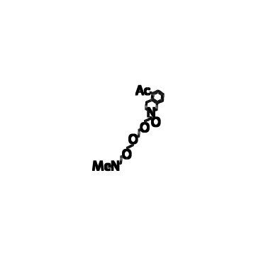 CNCCOCCOCCOCC(=O)N1CCc2c(cccc2C(C)=O)C1